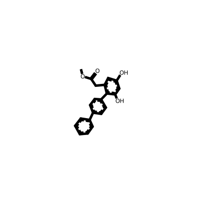 COC(=O)Cc1cc(O)cc(O)c1-c1ccc(-c2ccccc2)cc1